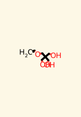 C=COCC(CO)(CO)CO